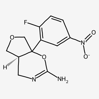 NC1=NC[C@H]2COCC2(c2cc([N+](=O)[O-])ccc2F)O1